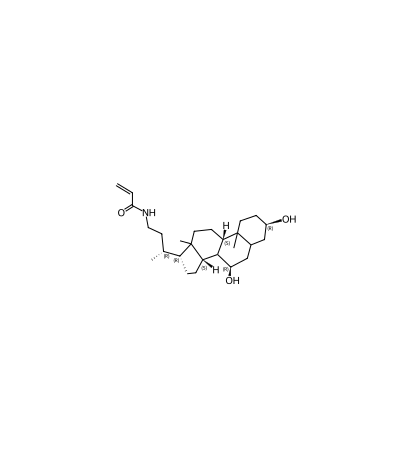 C=CC(=O)NCC[C@@H](C)[C@H]1CC[C@H]2C3[C@H](O)CC4C[C@H](O)CCC4(C)[C@H]3CCC12C